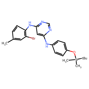 Cc1ccc(Nc2cc(Nc3ccc(O[Si](C)(C)C(C)(C)C)cc3)ncn2)c(Br)c1